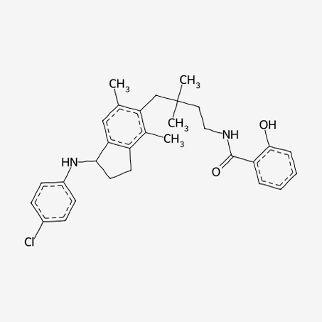 Cc1cc2c(c(C)c1CC(C)(C)CCNC(=O)c1ccccc1O)CCC2Nc1ccc(Cl)cc1